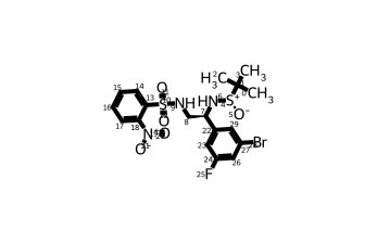 CC(C)(C)[S@+]([O-])N[C@H](CNS(=O)(=O)c1ccccc1[N+](=O)[O-])c1cc(F)cc(Br)c1